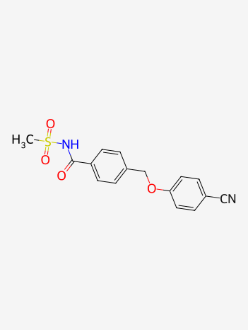 CS(=O)(=O)NC(=O)c1ccc(COc2ccc(C#N)cc2)cc1